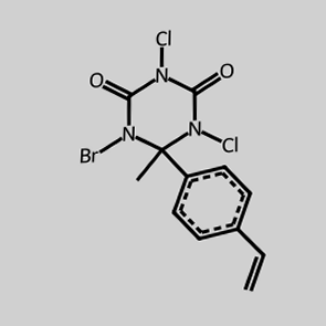 C=Cc1ccc(C2(C)N(Cl)C(=O)N(Cl)C(=O)N2Br)cc1